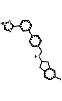 Fc1ccc2c(c1)CC(NCc1ccc(-c3cccc(-c4nc[nH]n4)c3)cc1)C2